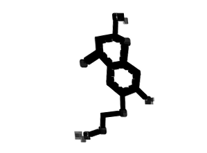 COCOc1cc2c(=O)cc(C)oc2cc1Br